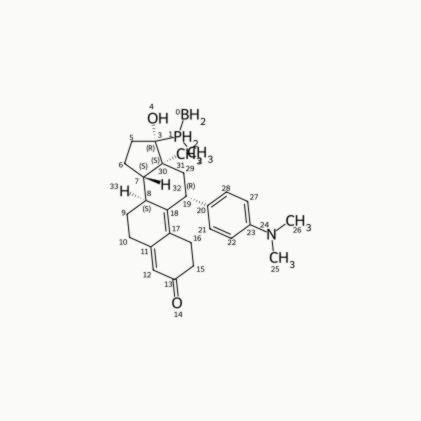 B[PH2](C)[C@]1(O)CC[C@H]2[C@@H]3CCC4=CC(=O)CCC4=C3[C@@H](c3ccc(N(C)C)cc3)C[C@@]21C